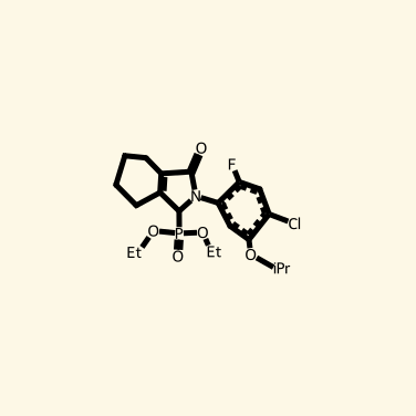 CCOP(=O)(OCC)C1C2=C(CCCC2)C(=O)N1c1cc(OC(C)C)c(Cl)cc1F